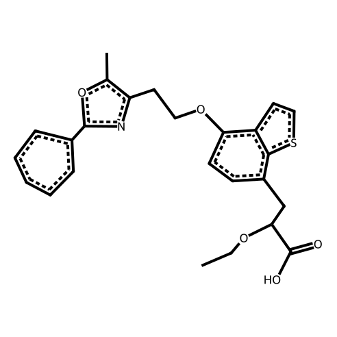 CCOC(Cc1ccc(OCCc2nc(-c3ccccc3)oc2C)c2ccsc12)C(=O)O